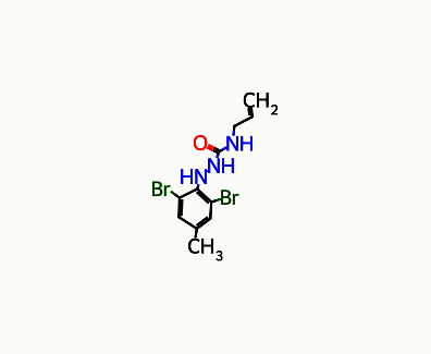 C=CCNC(=O)NNc1c(Br)cc(C)cc1Br